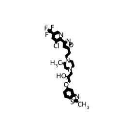 Cc1nc2cc(OC[C@H](O)CN3CCN(CCc4cc(-c5ncc(C(F)(F)F)cc5Cl)no4)[C@@H](C)C3)ccc2s1